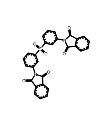 O=C1c2ccccc2C(=O)N1c1cccc(S(=O)(=O)c2cccc(N3C(=O)c4ccccc4C3=O)c2)c1